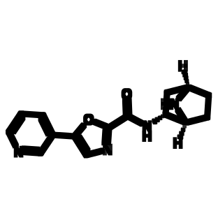 O=C(N[C@@H]1C[C@H]2CC[C@@H]1N2)c1ncc(-c2cccnc2)o1